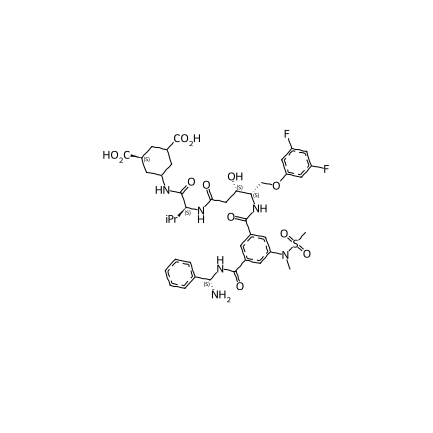 CC(C)[C@H](NC(=O)C[C@H](O)[C@H](COc1cc(F)cc(F)c1)NC(=O)c1cc(C(=O)N[C@H](N)c2ccccc2)cc(N(C)S(C)(=O)=O)c1)C(=O)NC1CC(C(=O)O)C[C@H](C(=O)O)C1